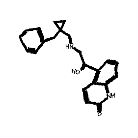 O=c1ccc2c(C(O)CNCC3(Cc4ccccc4)CC3)cccc2[nH]1